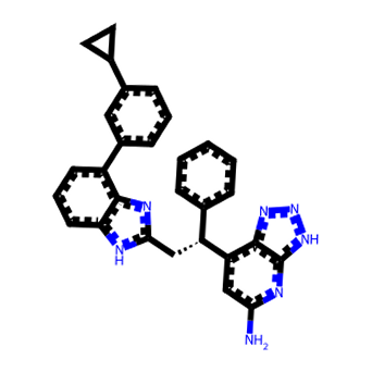 Nc1cc([C@H](Cc2nc3c(-c4cccc(C5CC5)c4)cccc3[nH]2)c2ccccc2)c2nn[nH]c2n1